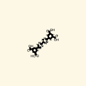 O=C(O)c1cc(C(=O)O)cc(-c2cnc(-c3nnc(-c4cc(C(=O)O)cc(C(=O)O)c4)nn3)nc2)c1